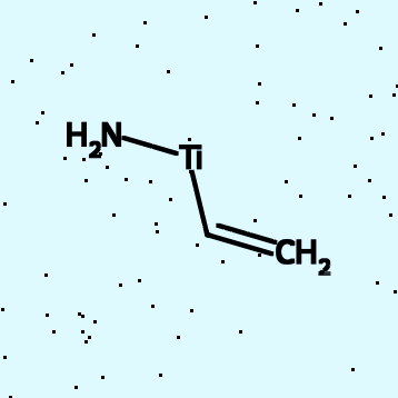 C=[CH][Ti][NH2]